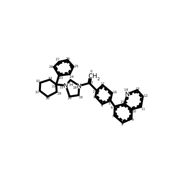 C=C(c1ccc(-c2cccc3cccnc23)cc1)N1CCN(C2(c3ccccc3)CCCCC2)C1